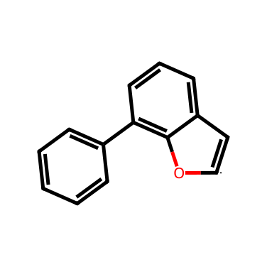 [c]1cc2cccc(-c3ccccc3)c2o1